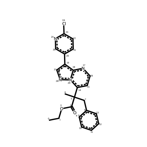 CCOC(=O)C(C)(Cc1ccccc1)c1ccnc2c(-c3ccc(Cl)nc3)cnn12